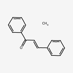 C.O=C(C=Cc1ccccc1)c1ccccc1